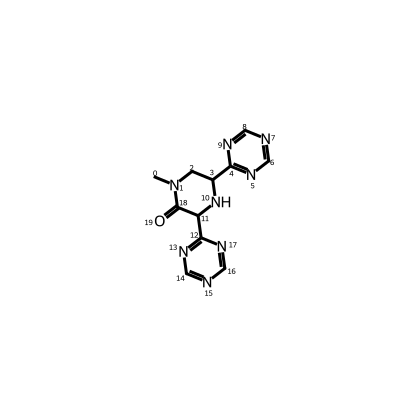 CN1CC(c2ncncn2)NC(c2ncncn2)C1=O